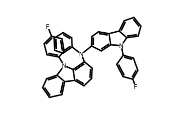 Fc1ccc(-n2c3ccccc3c3ccc(N(c4ccccc4)c4cccc5c6ccccc6n(-c6ccc(F)cc6)c45)cc32)cc1